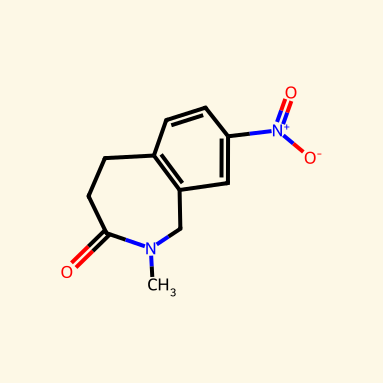 CN1Cc2cc([N+](=O)[O-])ccc2CCC1=O